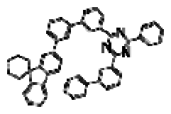 c1ccc(-c2cccc(-c3nc(-c4ccccc4)nc(-c4cccc(-c5cccc(-c6ccc7c(c6)C6(CCCCC6)c6ccccc6-7)c5)c4)n3)c2)cc1